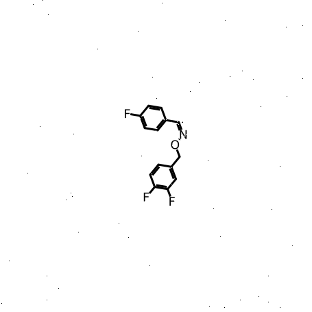 Fc1ccc(/[C]=N\OCc2ccc(F)c(F)c2)cc1